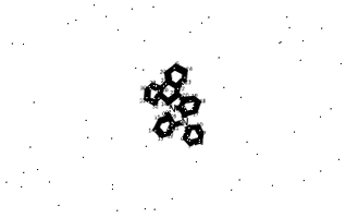 Cn1c2c(N(c3ccccc3)c3ccccc3)cccc2c2c3ccccc3c3ccccc3c21